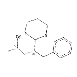 C[C@H](O)C[C@@H](Cc1ccccc1)C1SCCCS1